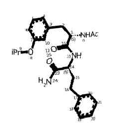 CC(=O)N[C@@H](Cc1cccc(OC(C)C)c1)C(=O)N[C@@H](CCc1ccccc1)C(N)=O